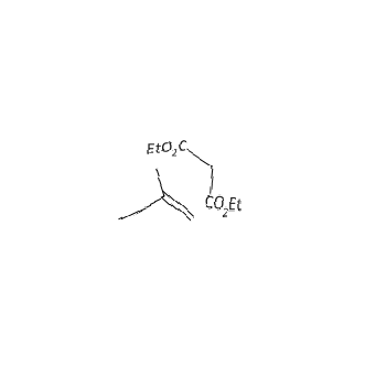 C=C(C)C.CCOC(=O)CC(=O)OCC